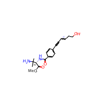 COC(=O)[C@@H](NC(=O)c1ccc(C#C/C=C/CCO)cc1)C(C)(C)N